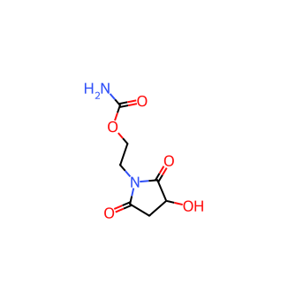 NC(=O)OCCN1C(=O)CC(O)C1=O